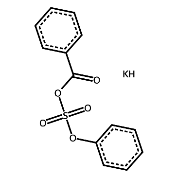 O=C(OS(=O)(=O)Oc1ccccc1)c1ccccc1.[KH]